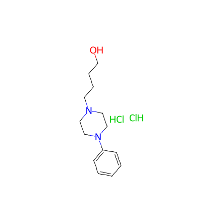 Cl.Cl.OCCCCN1CCN(c2ccccc2)CC1